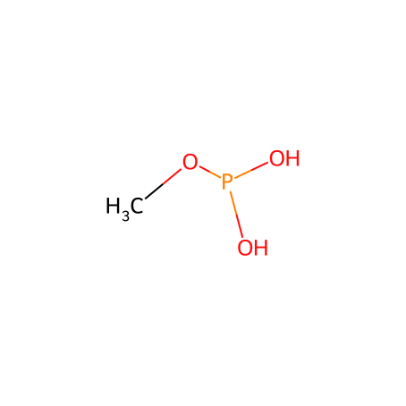 COP(O)O